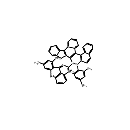 Bc1cc(B)c(-c2nc(N3c4c(c5ccccc5c5c4sc4ccccc45)-c4c(ccc5ccccc45)N3c3c(B)cc(B)cc3B)nc3ccccc23)c(B)c1